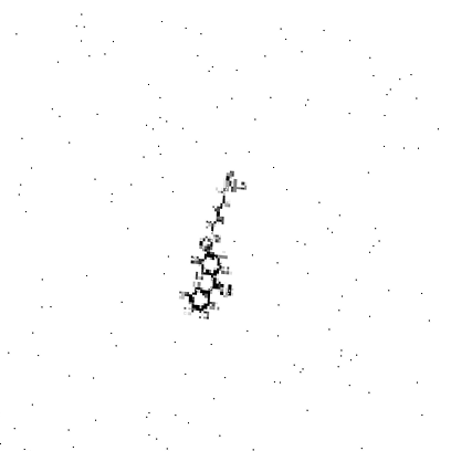 CN(C)CCCCCCOc1ccc(C(=O)c2ccccc2)cc1